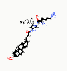 C[C@]12CC[C@@H](O)CC1CCC1C2CC[C@]2(C)C(CCC(=O)N[C@H]3C[C@@H](C(=O)O)N(C(=O)C(N)CCCCN)C3)CCC12